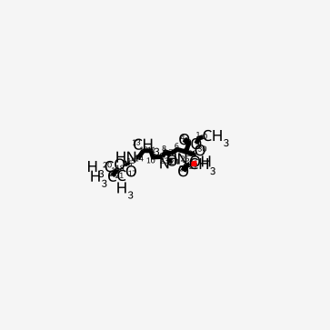 CCOC(=O)C(Cc1cc(CCC(C)CNC(=O)OC(C)(C)C)no1)(NC(C)=O)C(=O)O